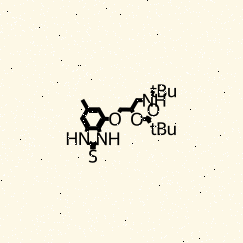 Cc1cc(OCC(CNC(C)(C)C)OC(=O)C(C)(C)C)c2[nH]c(=S)[nH]c2c1